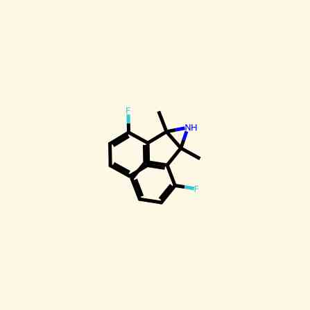 CC1(c2ccccc2F)NC1(C)c1ccccc1F